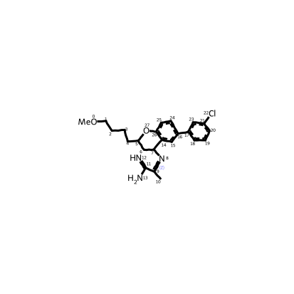 COCCCCC1CC(/N=C(/C)C(=N)N)c2cc(-c3cccc(Cl)c3)ccc2O1